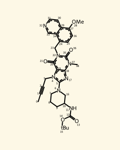 CC#CCn1c(N2CCCC(NC(=O)OC(C)(C)C)C2)nc2c1c(=O)n(Cc1ccc(OC)c3ccncc13)c(=O)n2C